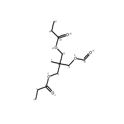 CCC(=O)OCC(C)(COC=O)COC(=O)CC